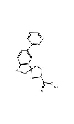 CC(C)(C)OC(=O)N1CCC2(CNc3ccc(-c4ccccc4)cc32)C1